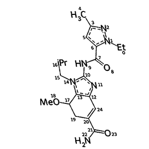 CCn1nc(C)cc1C(=O)Nc1nc2c(n1CC(C)C)C(OC)CC(C(N)=O)=C2